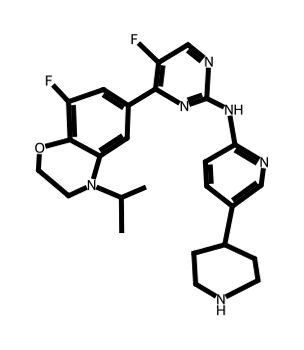 CC(C)N1CCOc2c(F)cc(-c3nc(Nc4ccc(C5CCNCC5)cn4)ncc3F)cc21